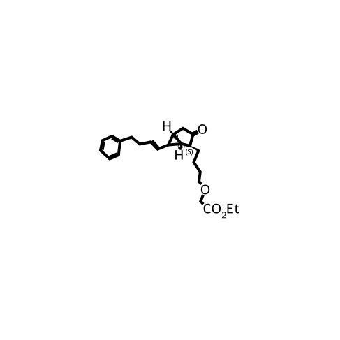 CCOC(=O)COCCCC[C@@H]1C(=O)C[C@H]2C(C=CCCc3ccccc3)[C@@H]12